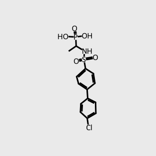 CC(NS(=O)(=O)c1ccc(-c2ccc(Cl)cc2)cc1)P(=O)(O)O